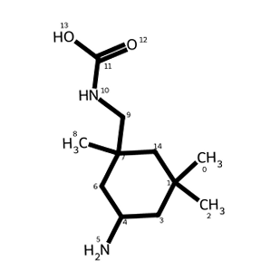 CC1(C)CC(N)CC(C)(CNC(=O)O)C1